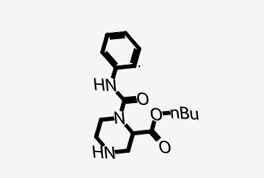 CCCCOC(=O)C1CNCCN1C(=O)Nc1[c]cccc1